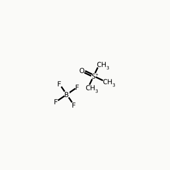 C[S+](C)(C)=O.F[B-](F)(F)F